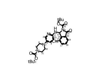 CC(C)(C)OC(=O)N1CCN(c2ccc(NC3c4c(Cl)cccc4C(=O)N3C(=O)OC(C)(C)C)nc2)CC1